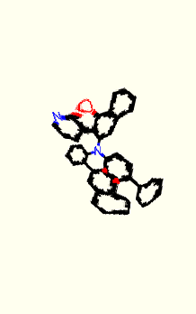 c1ccc(-c2ccc(N(c3ccccc3-c3ccc4ccccc4c3)c3cc4ccccc4c4oc5ncccc5c34)cc2)cc1